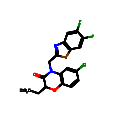 CCOC(=O)CC1Oc2ccc(Cl)cc2N(Cc2nc3cc(F)c(F)cc3s2)C1=O